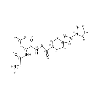 CNCC(=O)NC(CC(C)C)C(=O)NCC(=O)N1CCC2(CC1)CC(N1CCCS1)C2